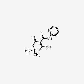 CC1(C)CC(=O)C(C(=S)Nc2ccccn2)=C(O)C1